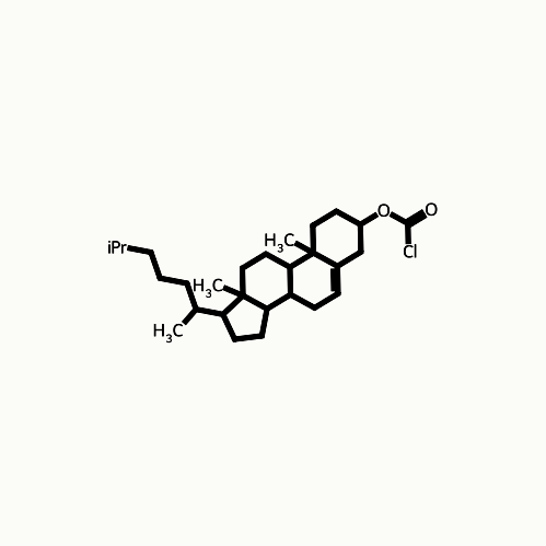 CC(C)CCCC(C)C1CCC2C3CC=C4CC(OC(=O)Cl)CCC4(C)C3CCC12C